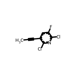 CC#Cc1cc(F)c(Cl)nc1Cl